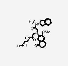 COc1cc2c(cc1N(CC(=O)NCCNC(C)C)CC(=O)N(C)N1Cc3ccccc3C1)C(=O)CCC2